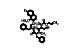 C=CCOC(=O)N(C)C(CC(C)C)C(=O)N(C)C(Cc1ccccc1)C(=O)NC(COc1cnc2ccc(F)cc2c1C(=O)O)Cc1ccccc1